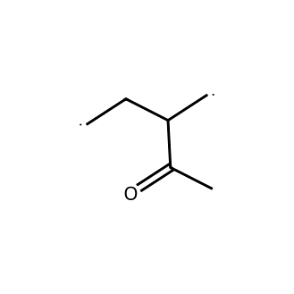 [CH2]CC([CH2])C(C)=O